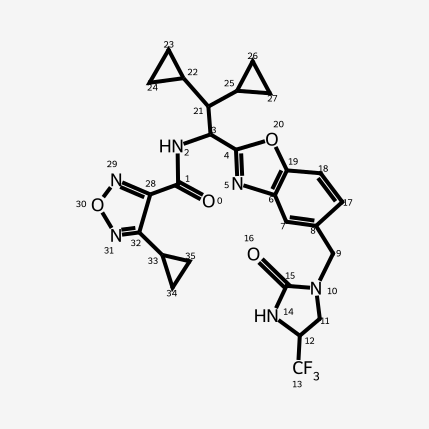 O=C(NC(c1nc2cc(CN3CC(C(F)(F)F)NC3=O)ccc2o1)C(C1CC1)C1CC1)c1nonc1C1CC1